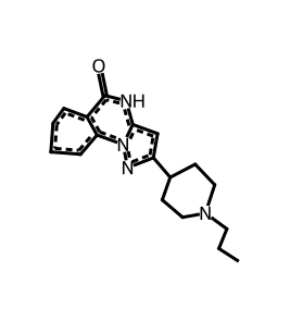 CCCN1CCC(c2cc3[nH]c(=O)c4ccccc4n3n2)CC1